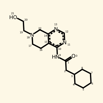 O=C(CC1CCCCC1)Nc1ncnc2c1CCN(CCO)C2